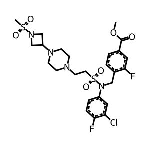 COC(=O)c1ccc(CN(c2ccc(F)c(Cl)c2)S(=O)(=O)CCN2CCN(C3CN(S(C)(=O)=O)C3)CC2)c(F)c1